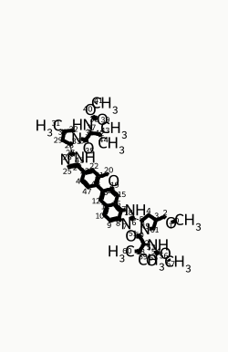 COCC1C[C@@H](c2nc3ccc4cc5c(cc4c3[nH]2)OCc2cc(-c3cnc([C@@H]4C[C@H](C)CN4C(=O)[C@@H](NC(=O)OC)C(C)C)[nH]3)ccc2-5)N(C(=O)[C@@H](NC(=O)OC)C(C)C)C1